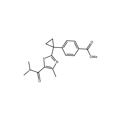 COC(=O)c1ccc(C2(c3nc(C)c(C(=O)N(C)C)s3)CC2)cc1